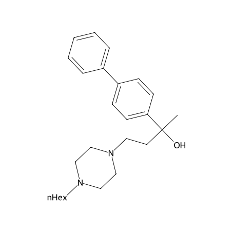 CCCCCCN1CCN(CCC(C)(O)c2ccc(-c3ccccc3)cc2)CC1